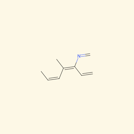 C=C/C(N=C)=C(C)\C=C/C